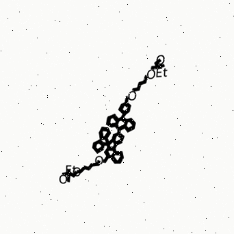 CCC1(COCCCCCOCc2ccc(-c3c4ccccc4c(-c4ccc5c(c4)C(c4ccccc4)(c4ccccc4)c4cc(COCCCCCOCC6(CC)COC6)c6ccccc6c4-5)c4ccccc34)cc2)COC1